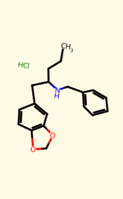 CCCC(Cc1ccc2c(c1)OCO2)NCc1ccccc1.Cl